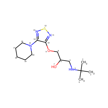 CC(C)(C)NCC(O)COc1nsnc1N1CCCCC1